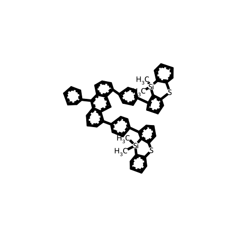 C[Si]1(C)c2ccccc2Sc2cccc(-c3ccc(-c4cccc5c(-c6ccccc6)c6cccc(-c7ccc(-c8cccc9c8[Si](C)(C)c8ccccc8S9)cc7)c6cc45)cc3)c21